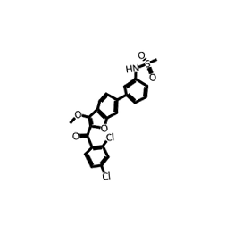 COc1c(C(=O)c2ccc(Cl)cc2Cl)oc2cc(-c3cccc(NS(C)(=O)=O)c3)ccc12